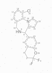 FC1(F)CCc2cc(C3NCc4cccc(Cl)c4-n4cccc43)ccc2O1